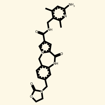 Cc1cc(N)nc(C)c1CNC(=O)c1cc2n(c1)Cc1ccc(CN3CCOC3=O)cc1NC2=O